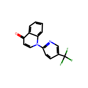 O=c1ccn(-c2ccc(C(F)(F)F)cn2)c2ccccc12